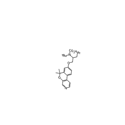 CC(C)CC(COc1ccc2c(c1)C(C)(C)Oc1cnccc1-2)N(C(=O)O)C(C)(C)C